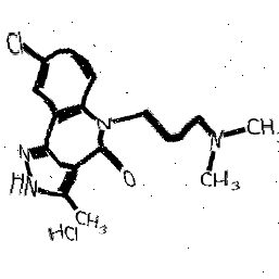 Cc1[nH]nc2c1c(=O)n(CCCN(C)C)c1ccc(Cl)cc21.Cl